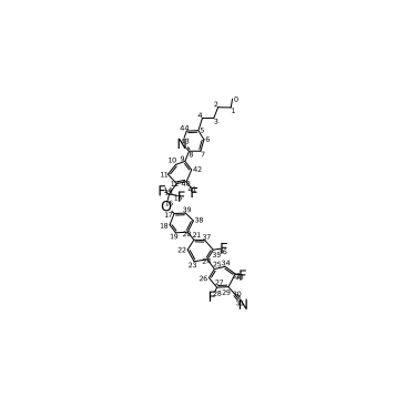 CCCCCc1ccc(-c2ccc(C(F)(F)Oc3ccc(-c4ccc(-c5cc(F)c(C#N)c(F)c5)c(F)c4)cc3)c(F)c2)nc1